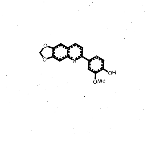 COc1cc(-c2ccc3cc4c(cc3n2)OCO4)ccc1O